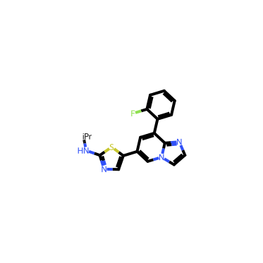 CC(C)Nc1ncc(-c2cc(-c3ccccc3F)c3nccn3c2)s1